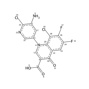 Nc1cc(-n2cc(C(=O)O)c(=O)c3cc(F)c(F)c(Cl)c32)cnc1Cl